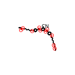 C=COCOCCCCCCOc1ccc(C(=O)Oc2cc(C#N)cc(OC(=O)c3ccc(OCCCCCCOC(=O)C=C)cc3)c2)cc1